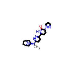 CN(c1ccc(-c2ccc(-n3cccn3)c(=O)[nH]2)nn1)C1CC2CCC(C1)N2